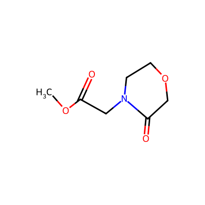 COC(=O)CN1CCOCC1=O